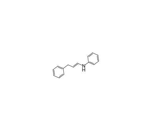 C(=CNc1ccccc1)Cc1ccccc1